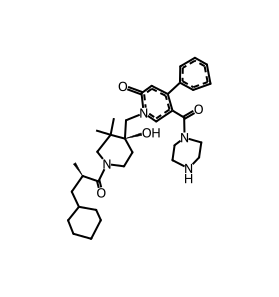 C[C@H](CC1CCCCC1)C(=O)N1CC[C@@](O)(Cn2cc(C(=O)N3CCNCC3)c(-c3ccccc3)cc2=O)C(C)(C)C1